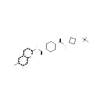 O=C(Nc1ccc2cc(Cl)ccc2n1)[C@H]1CC[C@H](C(=O)N[C@H]2C[C@@H](OC(F)(F)F)C2)CC1